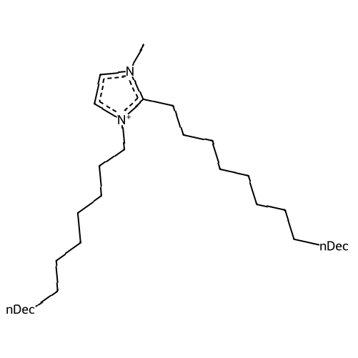 CCCCCCCCCCCCCCCCCCc1n(C)cc[n+]1CCCCCCCCCCCCCCCCC